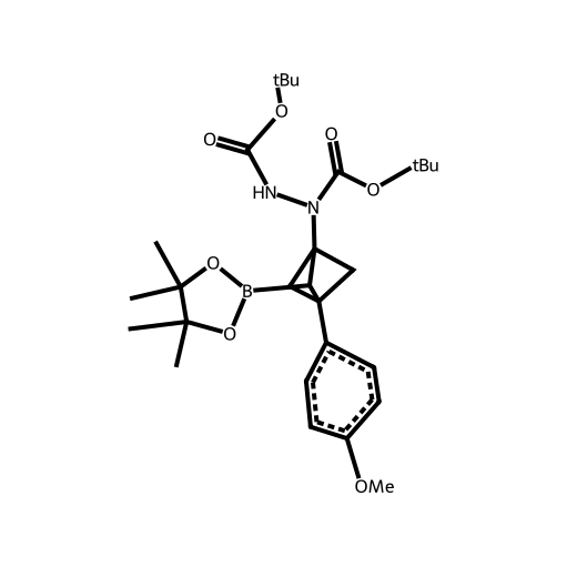 COc1ccc(C23CC(N(NC(=O)OC(C)(C)C)C(=O)OC(C)(C)C)(C2)C3B2OC(C)(C)C(C)(C)O2)cc1